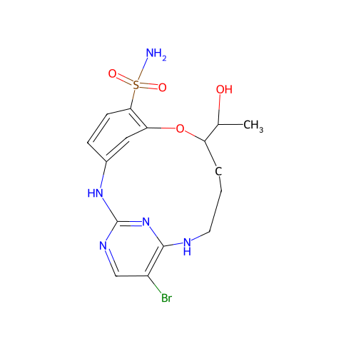 CC(O)C1CCCNc2nc(ncc2Br)Nc2ccc(S(N)(=O)=O)c(c2)O1